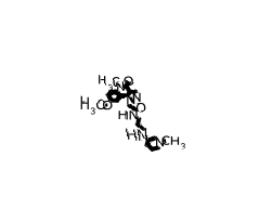 COc1ccc2c(c1)c1c(cnn1CC(=O)NCCCNC1CCCN(C)C1)c(=O)n2C